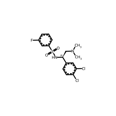 CN(C)C[C@H](NS(=O)(=O)c1cccc(F)c1)c1ccc(Cl)c(Cl)c1